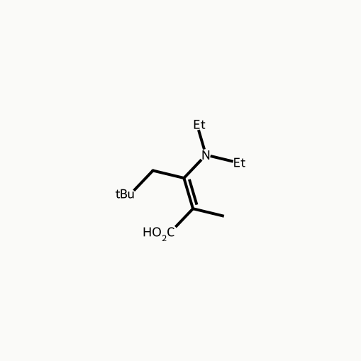 CCN(CC)C(CC(C)(C)C)=C(C)C(=O)O